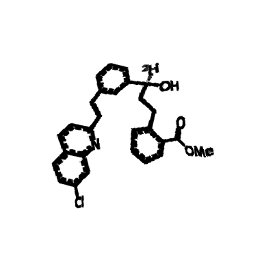 [2H][C@](O)(CCc1ccccc1C(=O)OC)c1cccc(/C=C/c2ccc3ccc(Cl)cc3n2)c1